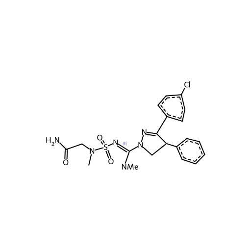 CN/C(=N\S(=O)(=O)N(C)CC(N)=O)N1CC(c2ccccc2)C(c2ccc(Cl)cc2)=N1